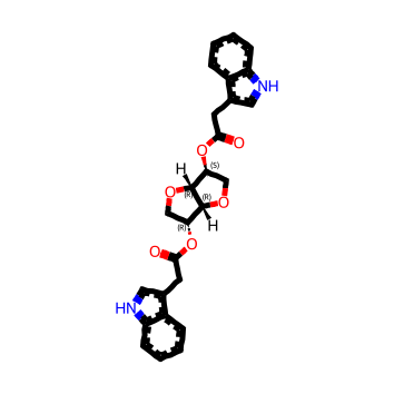 O=C(Cc1c[nH]c2ccccc12)O[C@H]1CO[C@H]2[C@@H]1OC[C@H]2OC(=O)Cc1c[nH]c2ccccc12